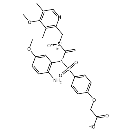 C=C(N(c1cc(OC)ccc1N)S(=O)(=O)c1ccc(OCC(=O)O)cc1)[S@@+]([O-])Cc1ncc(C)c(OC)c1C